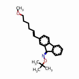 COCCCC/C=C/c1ccc2c(c1)/C(=N/OC(C)(C)C)c1ccccc1-2